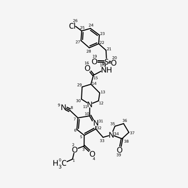 CCOC(=O)c1cc(C#N)c(N2CCC(C(=O)NS(=O)(=O)Cc3ccc(Cl)cc3)CC2)nc1CN1CCCC1=O